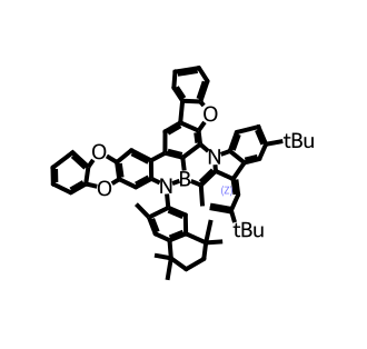 C=C(/C=c1\c2n(c3ccc(C(C)(C)C)cc13)-c1c3c(cc4c1oc1ccccc14)-c1cc4c(cc1N(c1cc5c(cc1C)C(C)(C)CCC5(C)C)B3C=2C)Oc1ccccc1O4)C(C)(C)C